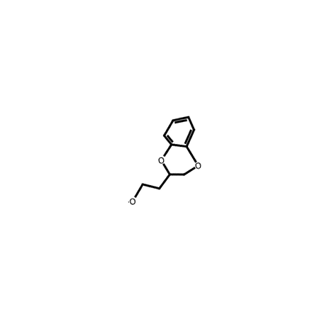 [O]CCC1COc2ccccc2O1